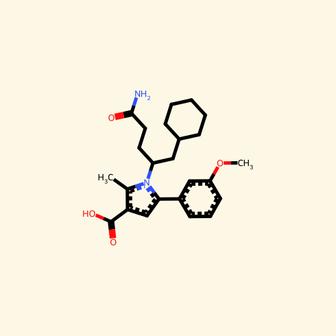 COc1cccc(-c2cc(C(=O)O)c(C)n2C(CCC(N)=O)CC2CCCCC2)c1